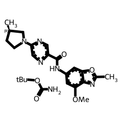 CC(C)(C)OC(N)=O.COc1cc(NC(=O)c2cnc(N3CC[C@@H](C)C3)cn2)cc2oc(C)nc12